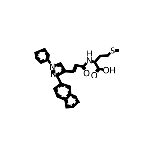 CSCCC(NC(=O)/C=C/c1cn(-c2ccccc2)nc1-c1ccc2ccccc2c1)C(=O)O